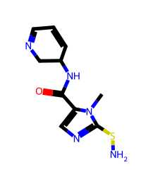 Cn1c(C(=O)NC2C=CC=NC2)cnc1SN